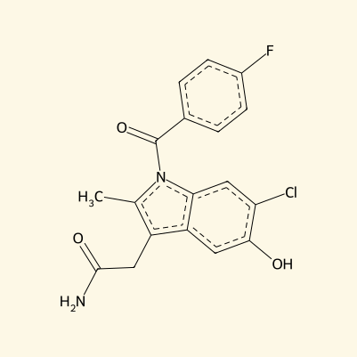 Cc1c(CC(N)=O)c2cc(O)c(Cl)cc2n1C(=O)c1ccc(F)cc1